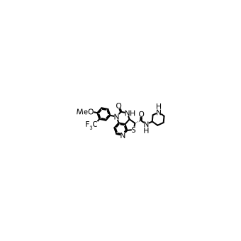 COc1ccc(N2C(=O)NC3c4c2ccnc4S[C@H]3C(=O)NC2CCCNC2)cc1C(F)(F)F